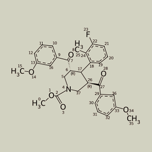 COC(=O)N1C[C@H](C(=O)c2cccc(OC)c2)C(c2cccc(F)c2C)[C@@H](C(=O)c2cccc(OC)c2)C1